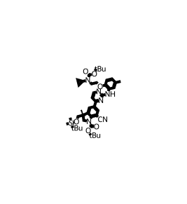 Cc1ccc(OCCN(C(=O)OC(C)(C)C)C2CC2)c(Nc2nccc(-c3cc(C#N)c4c(c3)[C@@](C)(CO[Si](C)(C)C(C)(C)C)CN4C(=O)OC(C)(C)C)n2)c1